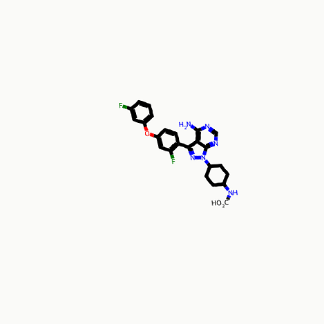 Nc1ncnc2c1c(-c1ccc(Oc3cccc(F)c3)cc1F)nn2C1CCC(NC(=O)O)CC1